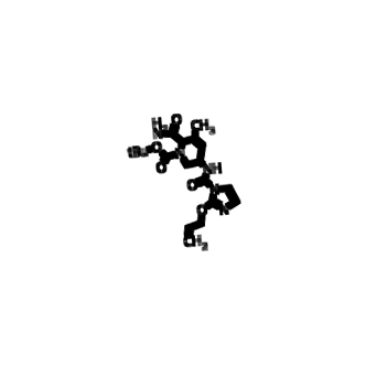 C=CCOc1nccn1C(=O)NC1C=C(C)C(C(N)=O)N(C(=O)OC(C)(C)C)C1